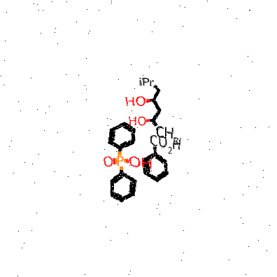 CC(C)CC(O)CC(C)O.O=C(O)c1ccccc1.O=P(O)(c1ccccc1)c1ccccc1